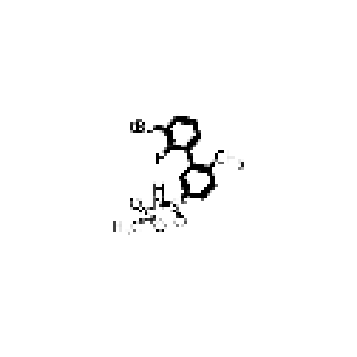 Cc1ccc([S+]([O-])NS(C)(=O)=O)cc1-c1cccc(C(C)(C)C)c1F